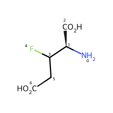 N[C@H](C(=O)O)C(F)CC(=O)O